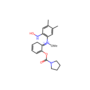 CO/[N+](=C1/CC=CC=C1OC(=O)N1CCCC1)c1cc(C)c(C)cc1NO